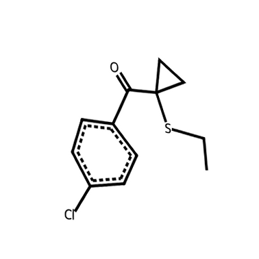 CCSC1(C(=O)c2ccc(Cl)cc2)CC1